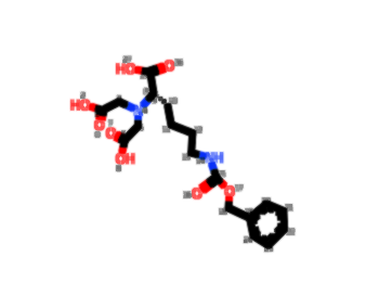 O=C(O)CN(CC(=O)O)[C@@H](CCCCNC(=O)OCc1ccccc1)C(=O)O